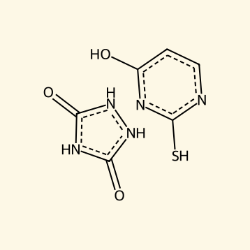 O=c1[nH][nH]c(=O)[nH]1.Oc1ccnc(S)n1